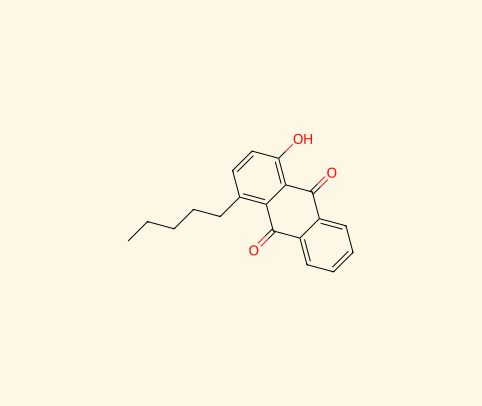 CCCCCc1ccc(O)c2c1C(=O)c1ccccc1C2=O